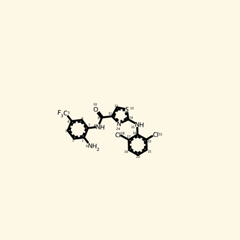 Nc1ccc(C(F)(F)F)cc1NC(=O)c1csc(Nc2c(Cl)cccc2Cl)n1